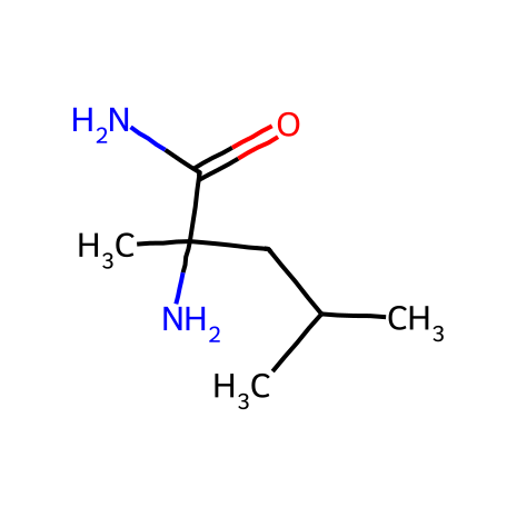 CC(C)CC(C)(N)C(N)=O